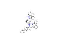 Cc1ccc2ccc3ccccc3c2c1C(=N)c1cccc(C2=N/C(c3ccc(-c4ccccc4)cc3)C(C)CC/C(c3ccccc3-c3ccccc3)=N\2)c1